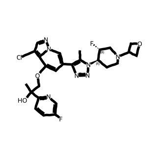 Cc1c(-c2cc(OCC(C)(O)c3ccc(F)cn3)c3c(Cl)cnn3c2)nnn1[C@@H]1CCN(C2COC2)C[C@H]1F